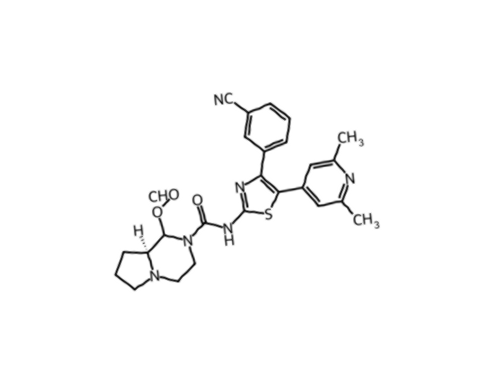 Cc1cc(-c2sc(NC(=O)N3CCN4CCC[C@H]4C3OC=O)nc2-c2cccc(C#N)c2)cc(C)n1